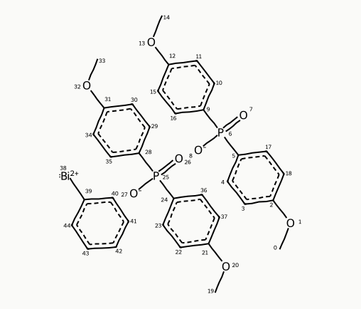 COc1ccc(P(=O)([O-])c2ccc(OC)cc2)cc1.COc1ccc(P(=O)([O-])c2ccc(OC)cc2)cc1.[Bi+2][c]1ccccc1